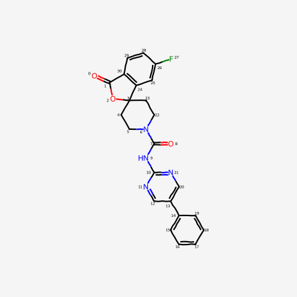 O=C1OC2(CCN(C(=O)Nc3ncc(-c4ccccc4)cn3)CC2)c2cc(F)ccc21